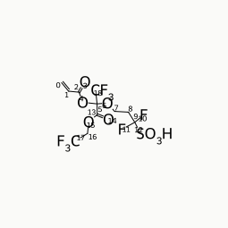 C=CC(=O)OC(OCCC(F)(F)S(=O)(=O)O)(C(=O)OCC(F)(F)F)C(F)(F)F